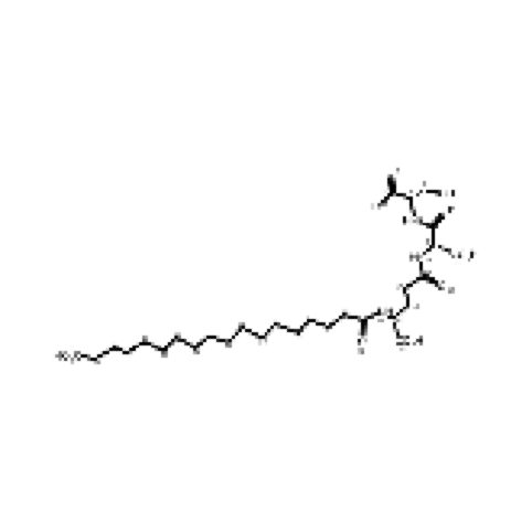 CCC(=O)[C@H](CO)NC(=O)[C@H](NC(=O)CC[C@H](NC(=O)CCCCCCCCCCCCCCCCC(=O)O)C(=O)O)C(=O)O